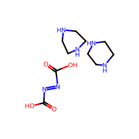 C1CNCCN1.C1CNCCN1.O=C(O)/N=N/C(=O)O